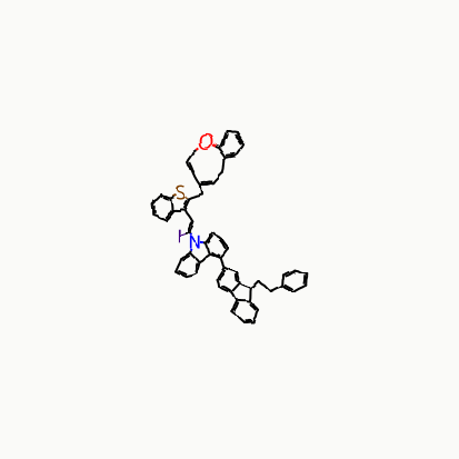 I/C(=C\c1c(CC2=C/Cc3ccccc3OC/C=C\2)sc2ccccc12)n1c2ccccc2c2c(-c3ccc4c(c3)C(CCc3ccccc3)c3ccccc3-4)cccc21